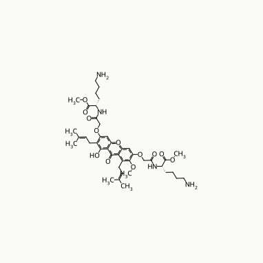 COC(=O)[C@H](CCCCN)NC(=O)COc1cc2oc3cc(OCC(=O)N[C@@H](CCCCN)C(=O)OC)c(OC)c(CC=C(C)C)c3c(=O)c2c(O)c1CC=C(C)C